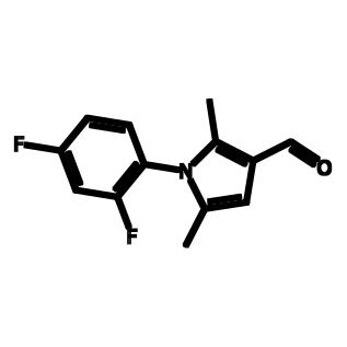 Cc1cc(C=O)c(C)n1-c1ccc(F)cc1F